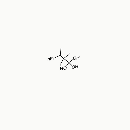 CCCC(I)C(I)(I)C(O)(O)O